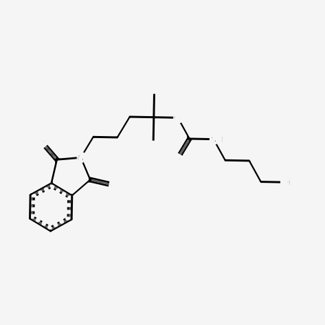 CC(C)(CCCN1C(=O)c2ccccc2C1=O)OC(=O)NCCCO